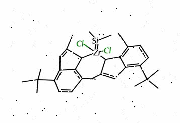 CC1=Cc2c(C(C)(C)C)ccc(C)c2[CH]1[Zr]([Cl])([Cl])([CH]1C(C)=Cc2c(C(C)(C)C)ccc(C)c21)=[Si](C)C